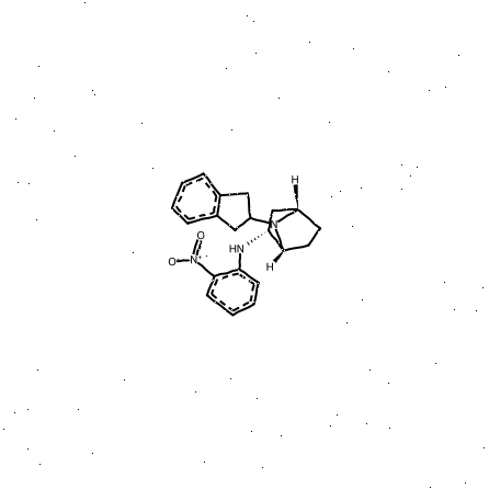 O=[N+]([O-])c1ccccc1N[C@@H]1C[C@@H]2CC[C@H]1N2C1Cc2ccccc2C1